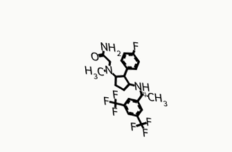 C[C@@H](NC1CCC(N(C)CC(N)=O)C1c1ccc(F)cc1)c1cc(C(F)(F)F)cc(C(F)(F)F)c1